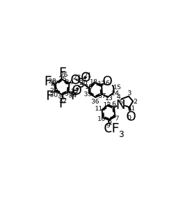 O=C1CCCN1c1cc(C(F)(F)F)ccc1[C@H]1CCOc2cc(S(=O)(=O)Oc3c(F)c(F)c(F)c(F)c3F)ccc21